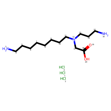 Cl.Cl.Cl.NCCCCCCCCN(CCCN)CC(=O)O